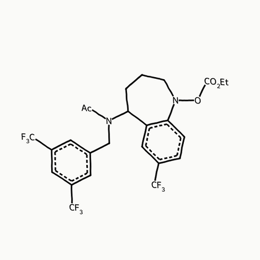 CCOC(=O)ON1CCCC(N(Cc2cc(C(F)(F)F)cc(C(F)(F)F)c2)C(C)=O)c2cc(C(F)(F)F)ccc21